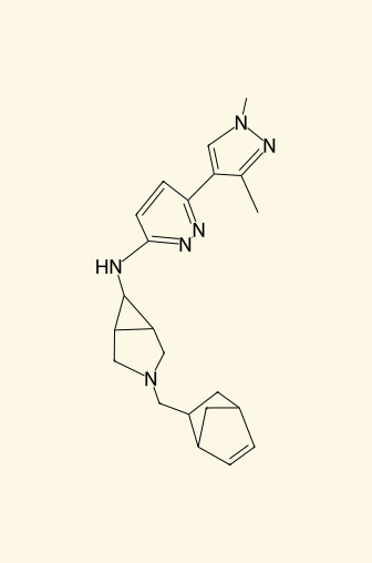 Cc1nn(C)cc1-c1ccc(NC2C3CN(CC4CC5C=CC4C5)CC32)nn1